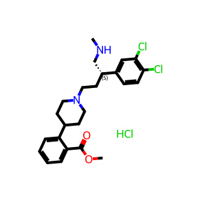 CNC[C@@H](CCN1CCC(c2ccccc2C(=O)OC)CC1)c1ccc(Cl)c(Cl)c1.Cl